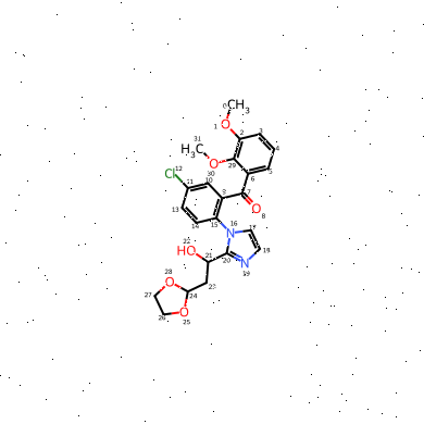 COc1cccc(C(=O)c2cc(Cl)ccc2-n2ccnc2C(O)CC2OCCO2)c1OC